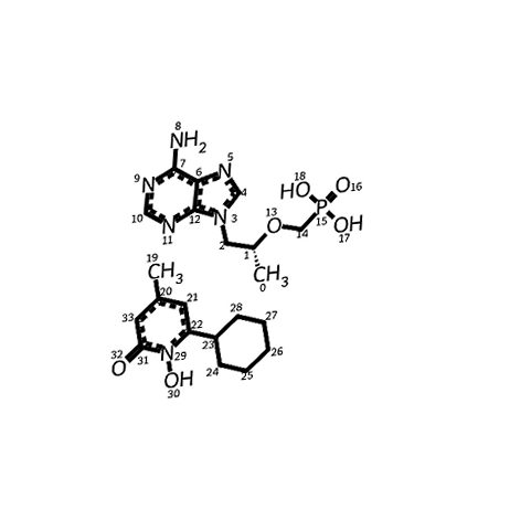 C[C@H](Cn1cnc2c(N)ncnc21)OCP(=O)(O)O.Cc1cc(C2CCCCC2)n(O)c(=O)c1